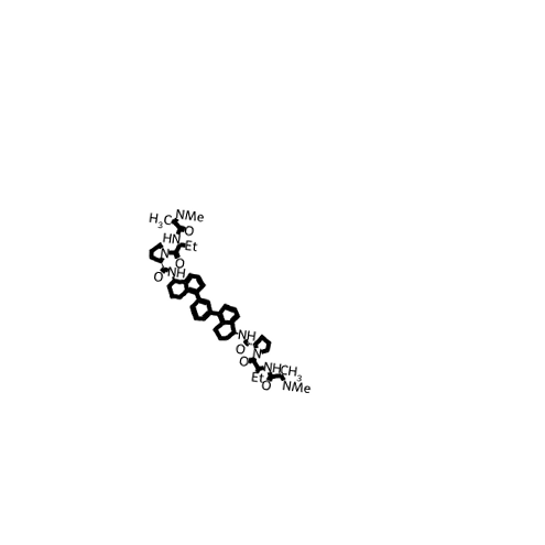 CCC(NC(=O)C(C)NC)C(=O)N1CCC[C@H]1C(=O)N[C@@H]1CCCc2c(-c3cccc(-c4cccc5c4CCC[C@H]5NC(=O)[C@@H]4CCCN4C(=O)C(CC)NC(=O)C(C)NC)c3)cccc21